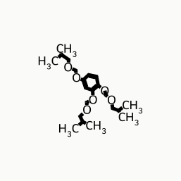 CC(C)COCOc1ccc(OCOCC(C)C)c(OCOCC(C)C)c1